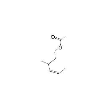 C/C=C\C(C)CCOC(C)=O